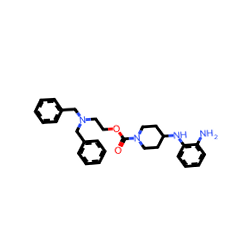 Nc1ccccc1NC1CCN(C(=O)OCCN(Cc2ccccc2)Cc2ccccc2)CC1